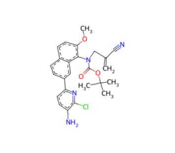 C=C(C#N)CN(C(=O)OC(C)(C)C)c1c(OC)ccc2ccc(-c3ccc(N)c(Cl)n3)cc12